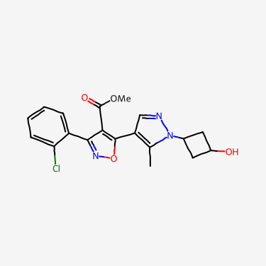 COC(=O)c1c(-c2ccccc2Cl)noc1-c1cnn(C2CC(O)C2)c1C